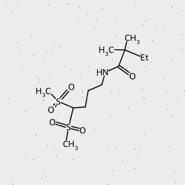 CCC(C)(C)C(=O)NCCCC(S(C)(=O)=O)S(C)(=O)=O